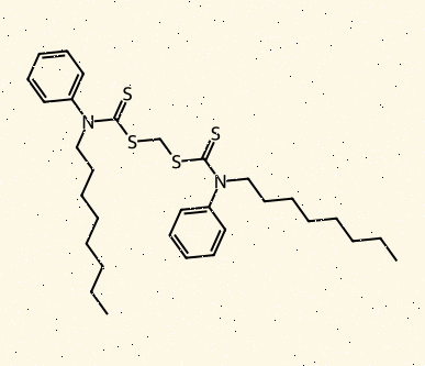 CCCCCCCCN(C(=S)SCSC(=S)N(CCCCCCCC)c1ccccc1)c1ccccc1